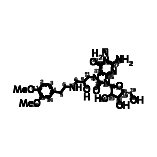 COc1ccc(CCNCC(O)Cn2c(=O)n([C@@H]3O[C@H](CO)C(O)C3O)c3nc(N)n(N)c(=O)c32)cc1OC